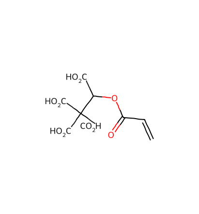 C=CC(=O)OC(C(=O)O)C(C(=O)O)(C(=O)O)C(=O)O